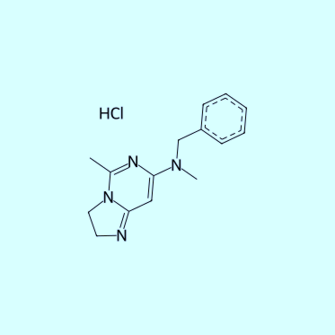 CC1=NC(N(C)Cc2ccccc2)=CC2=NCCN12.Cl